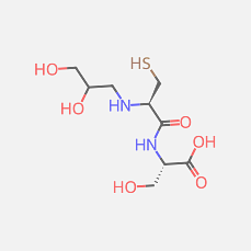 O=C(O)[C@H](CO)NC(=O)[C@H](CS)NCC(O)CO